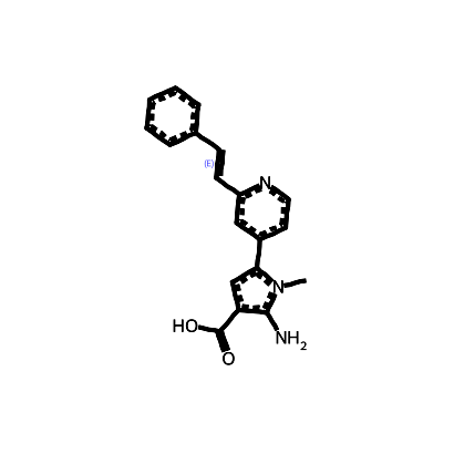 Cn1c(-c2ccnc(/C=C/c3ccccc3)c2)cc(C(=O)O)c1N